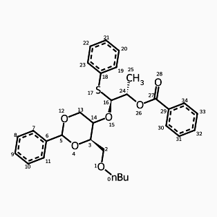 CCCCOC[C@H]1OC(c2ccccc2)OCC1O[C@@H](Sc1ccccc1)[C@H](C)OC(=O)c1ccccc1